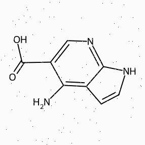 Nc1c(C(=O)O)cnc2[nH]ccc12